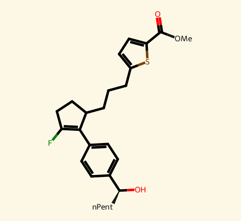 CCCCC[C@H](O)c1ccc(C2=C(F)CCC2CCCc2ccc(C(=O)OC)s2)cc1